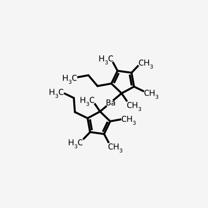 CCCC1=C(C)C(C)=C(C)[C]1(C)[Ba][C]1(C)C(C)=C(C)C(C)=C1CCC